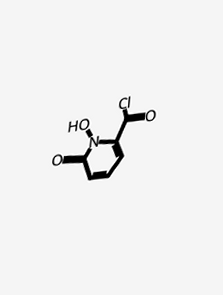 O=C(Cl)c1cccc(=O)n1O